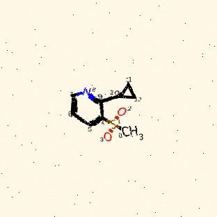 CS(=O)(=O)c1cccnc1C1CC1